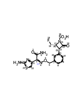 NC(=O)/C(=N\OCc1cccc([C@@H]2C(=O)N(S(=O)(=O)O)[C@H]2CF)c1)c1csc(N)n1